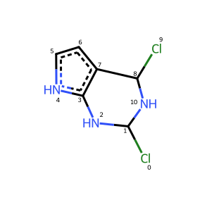 ClC1Nc2[nH]ccc2C(Cl)N1